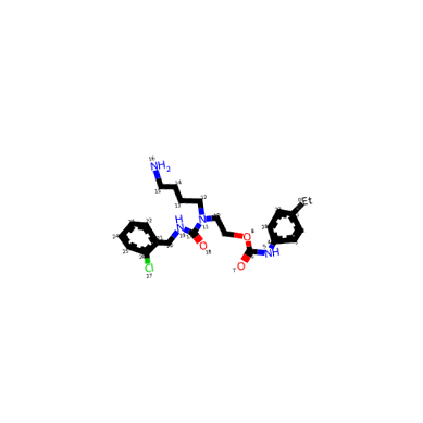 CCc1ccc(NC(=O)OCCN(CCCCN)C(=O)NCc2ccccc2Cl)cc1